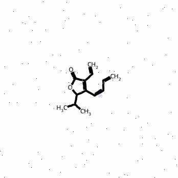 C=C/C=C\C1=C(C=C)C(=O)OC1C(C)C